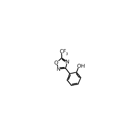 Oc1ccccc1-c1noc(C(F)(F)F)n1